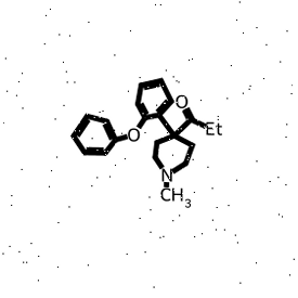 CCC(=O)C1(c2ccccc2Oc2ccccc2)CCN(C)CC1